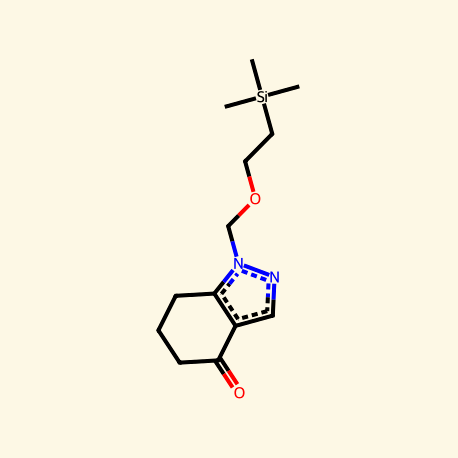 C[Si](C)(C)CCOCn1ncc2c1CCCC2=O